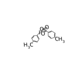 Cc1ccc([I+]OS(=O)(=O)c2ccc(C)cc2)cc1